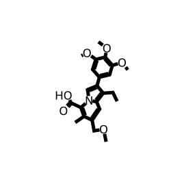 CCc1c(-c2cc(OC)c(OC)c(OC)c2)cn2c(C(=O)O)c(C)c(COC)cc12